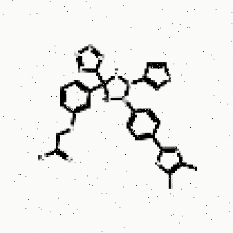 Cc1nc(-c2ccc(N3NC(c4cccc(OCC(=O)O)c4)(C4N=NN=N4)NN3c3ccsc3)cc2)sc1C